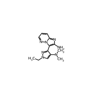 CCn1cc(N(C)C)c(-c2c(N)nc3cccnn23)n1